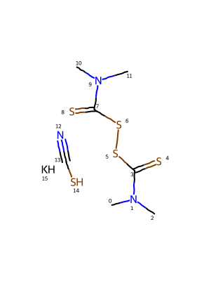 CN(C)C(=S)SSC(=S)N(C)C.N#CS.[KH]